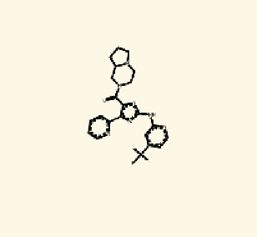 O=C(c1sc(Nc2cc(C(F)(F)F)ccn2)nc1-c1ccccn1)N1CCN2CCCC2C1